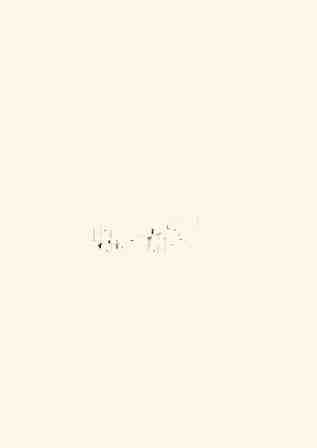 CC1CCN(C(=O)[C@H](N)CCCNC(=N)N[N+](=O)[O-])C(C(=O)O)C1